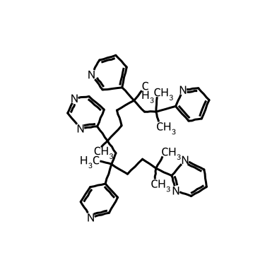 CC(C)(CC(C)(CCC(C)(CC(C)(CCC(C)(C)c1ncccn1)c1ccncc1)c1ccncn1)c1cccnc1)c1ccccn1